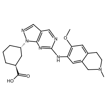 COc1cc2c(cc1Nc1ncc3cnn([C@H]4CCC[C@H](C(=O)O)C4)c3n1)CN(C)CC2